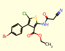 CCOC(=O)c1c(NC(=O)CC#N)sc(Cl)c1-c1ccc(Br)cc1